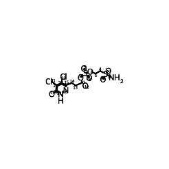 NS(=O)(=O)CCOS(=O)(=O)OC(=O)CCc1n[nH]c(=O)c(Cl)c1Cl